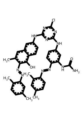 Cc1ccc(/N=N/c2ccc(Nc3nc(Cl)nc(Nc4ccc5c(O)c(N=Nc6cc(C)ccc6C)c(C)cc5c4)n3)cc2NC(N)=O)c(C)c1